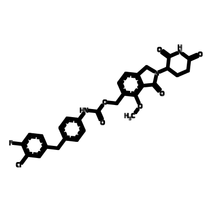 COc1c(COC(=O)Nc2ccc(Cc3ccc(F)c(Cl)c3)cc2)ccc2c1C(=O)N(C1CCC(=O)NC1=O)C2